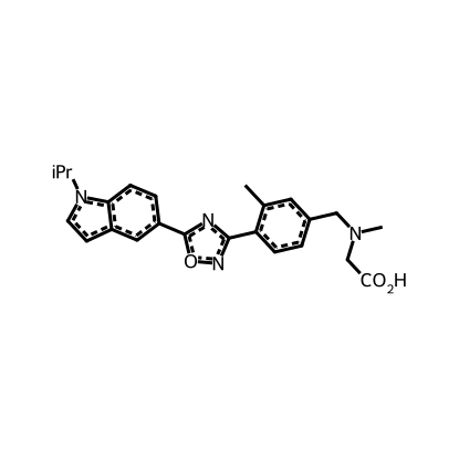 Cc1cc(CN(C)CC(=O)O)ccc1-c1noc(-c2ccc3c(ccn3C(C)C)c2)n1